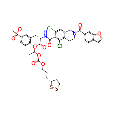 CC(OC(=O)OCCC[C@@H]1CCSS1)OC(=O)[C@H](Cc1cccc(S(C)(=O)=O)c1)NC(=O)c1c(Cl)cc2c(c1Cl)CCN(C(=O)c1ccc3ccoc3c1)C2